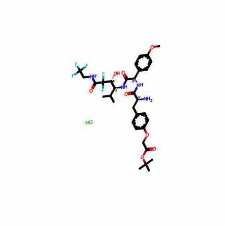 COc1ccc([C@H](NC(=O)[C@@H](N)Cc2ccc(OCC(=O)OC(C)(C)C)cc2)C(=O)N[C@@H](C(C)C)[C@@H](O)C(F)(F)C(=O)NCC(F)(F)F)cc1.Cl